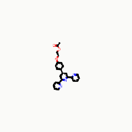 CC(=O)OCCOc1ccc(-c2cc(-c3ccccn3)nc(-c3ccccn3)c2)cc1